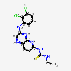 CCNC(=S)Nc1ccc2ncc(Nc3cccc(Cl)c3Cl)nc2n1